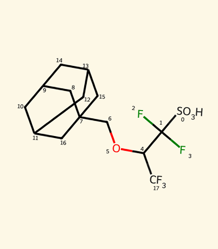 O=S(=O)(O)C(F)(F)C(OCC12CC3CC(CC(C3)C1)C2)C(F)(F)F